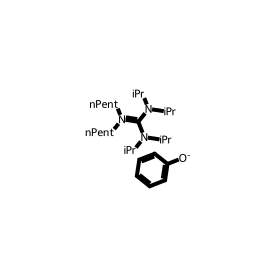 CCCCC[N+](CCCCC)=C(N(C(C)C)C(C)C)N(C(C)C)C(C)C.[O-]c1ccccc1